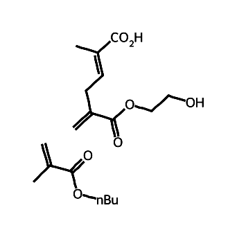 C=C(C)C(=O)OCCCC.C=C(CC=C(C)C(=O)O)C(=O)OCCO